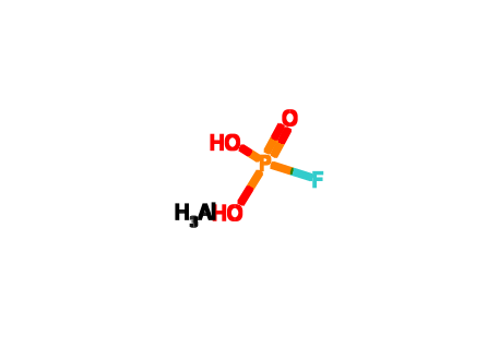 O=P(O)(O)F.[AlH3]